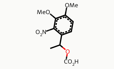 COc1ccc(C(C)OC(=O)O)c([N+](=O)[O-])c1OC